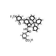 O=C(Nc1nn(C(c2ccccc2)(c2ccccc2)c2ccccc2)c2ccc(-c3ccc(C(F)(F)F)cc3Cl)cc12)[C@@H]1CCCN(C(=O)O)C1